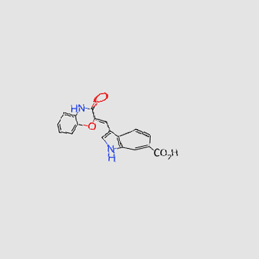 O=C1Nc2ccccc2OC1=Cc1c[nH]c2cc(C(=O)O)ccc12